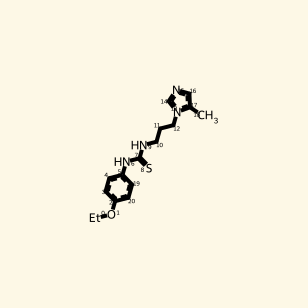 CCOc1ccc(NC(=S)NCCCn2cncc2C)cc1